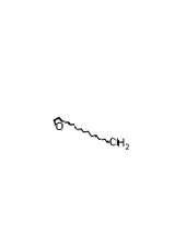 C=CCCCCCCCCC/C=C/c1ccco1